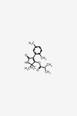 Cc1ccc(C)c(C2=C(OC(=O)N(C)C)C(C)(C)NC2=O)c1